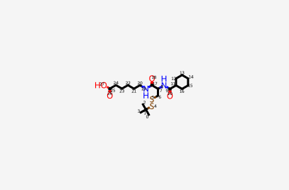 CC(C)(C)SSCC(NC(=O)C1CCCCC1)C(=O)NCCCCCC(=O)O